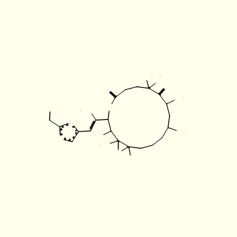 CC(=Cc1coc(CO)n1)C1OC(=O)CCC(C)(C)C(=O)C(C)CC(C)CCCC2(C)OC2(O)C1O